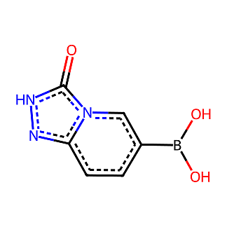 O=c1[nH]nc2ccc(B(O)O)cn12